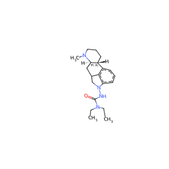 CCN(CC)C(=O)NN1CC2C[C@@H]3[C@H](CCCN3C)c3cccc1c32